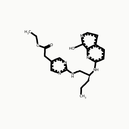 CCC[C@@H](CNc1ncc(CC(=O)OCC)cn1)Nc1ccc2ccnc(O)c2n1